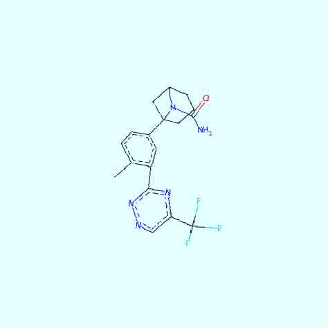 Cc1ccc(C23CCCC(C2)N3C(N)=O)cc1-c1nncc(C(F)(F)F)n1